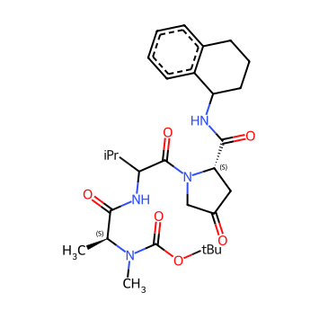 CC(C)C(NC(=O)[C@H](C)N(C)C(=O)OC(C)(C)C)C(=O)N1CC(=O)C[C@H]1C(=O)NC1CCCc2ccccc21